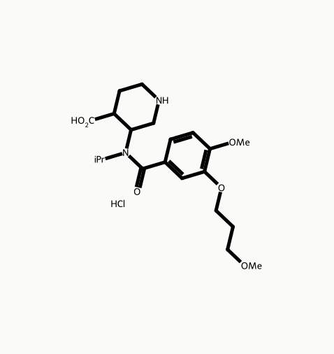 COCCCOc1cc(C(=O)N(C(C)C)C2CNCCC2C(=O)O)ccc1OC.Cl